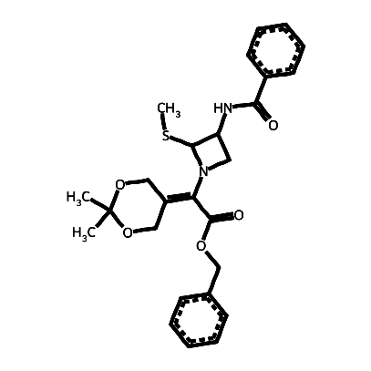 CSC1C(NC(=O)c2ccccc2)CN1C(C(=O)OCc1ccccc1)=C1COC(C)(C)OC1